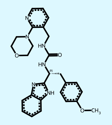 COc1ccc(C[C@@H](NC(=O)NCc2cccnc2N2CCOCC2)c2nc3ccccc3[nH]2)cc1